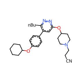 CCCCc1nnc(OC2CCN(CCC#N)CC2)cc1-c1ccc(OC2CCCCC2)cc1